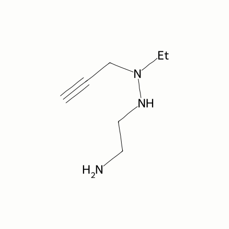 C#CCN(CC)NCCN